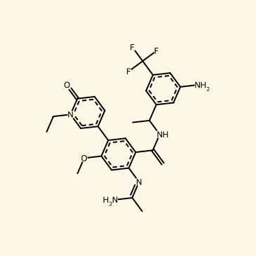 C=C(NC(C)c1cc(N)cc(C(F)(F)F)c1)c1cc(-c2ccc(=O)n(CC)c2)c(OC)cc1/N=C(/C)N